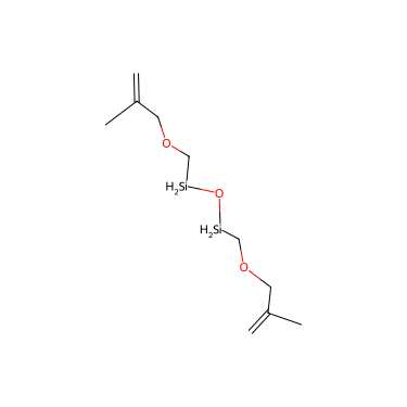 C=C(C)COC[SiH2]O[SiH2]COCC(=C)C